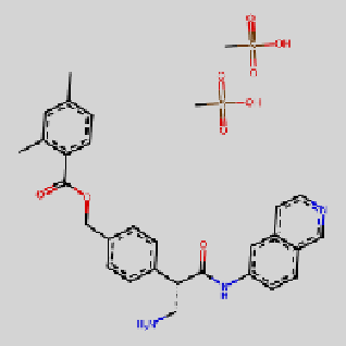 CS(=O)(=O)O.CS(=O)(=O)O.Cc1ccc(C(=O)OCc2ccc([C@@H](CN)C(=O)Nc3ccc4cnccc4c3)cc2)c(C)c1